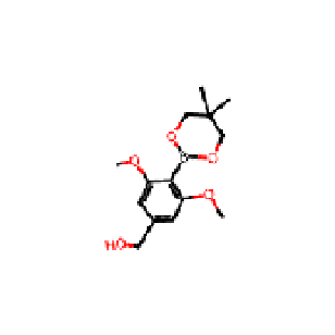 COc1cc(CO)cc(OC)c1B1OCC(C)(C)CO1